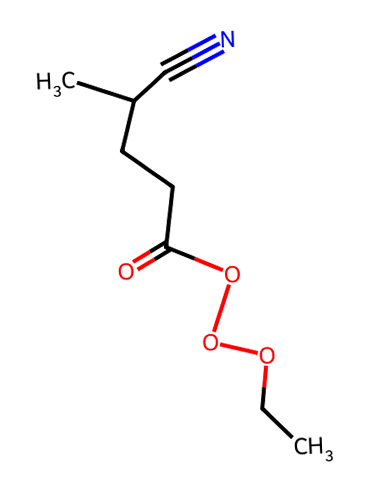 CCOOOC(=O)CCC(C)C#N